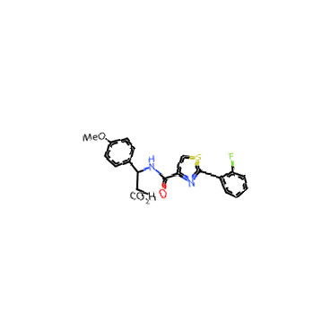 COc1ccc(C(CC(=O)O)NC(=O)c2csc(-c3ccccc3F)n2)cc1